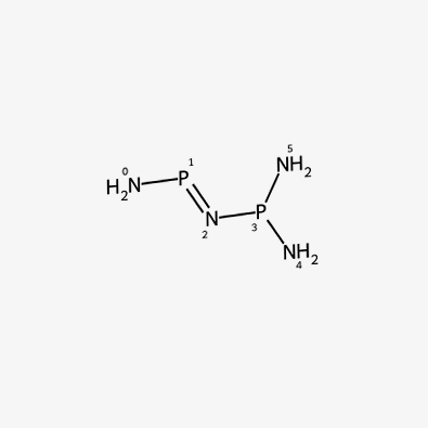 NP=NP(N)N